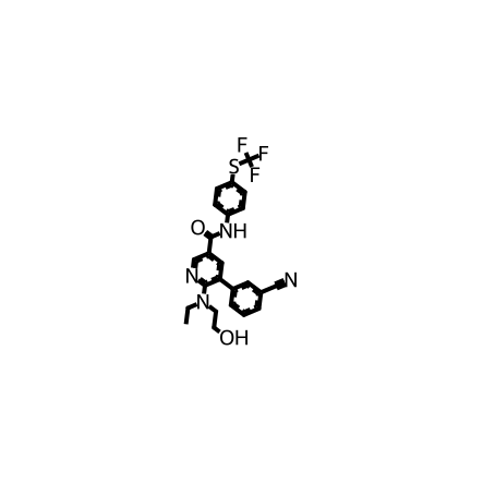 CCN(CCO)c1ncc(C(=O)Nc2ccc(SC(F)(F)F)cc2)cc1-c1cccc(C#N)c1